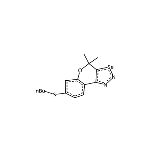 CCCCSc1ccc2c(c1)OC(C)(C)c1[se]nnc1-2